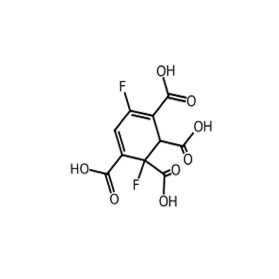 O=C(O)C1=CC(F)=C(C(=O)O)C(C(=O)O)C1(F)C(=O)O